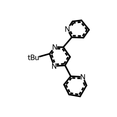 CC(C)(C)c1nc(-c2ccccn2)cc(-c2ccccn2)n1